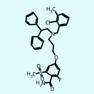 Cc1cccc(CN(CCCOc2cc(F)c(C(N)=O)c(S(C)(=O)=O)c2)CC(c2ccccc2)c2ccccc2)c1Cl